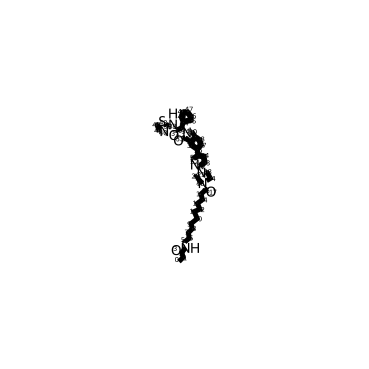 CCC(=O)NCCCCCCCCCCCC(=O)N1CCN(c2ccc(-c3ccc4c(c3)C(=O)N(C(C(=O)Nc3nccs3)c3ccccc3)C4)cn2)CC1